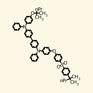 CCCC(C)(C)Oc1ccc(N(c2ccccc2)c2ccc(-c3ccc(N(c4ccccc4)c4ccc(Oc5ccc(S(=O)(=O)c6ccc(C(C)(C)CCC)cc6)cc5)cc4)cc3)cc2)cc1